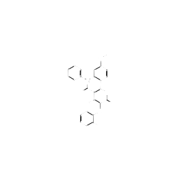 COc1ccc2c3oc(=O)c(Sc4ccccc4O)c(O)c3c(=O)n(-c3ccccc3)c2c1